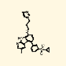 Cc1cnc2[nH]c3c(OCCCn4ccnn4)ccc(-c4cccc(S(=O)(=O)C5CC5)c4)c3c2c1